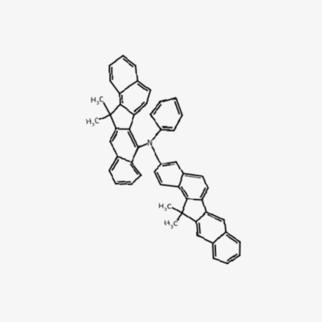 CC1(C)c2cc3ccccc3cc2-c2ccc3cc(N(c4ccccc4)c4c5c(cc6ccccc46)C(C)(C)c4c-5ccc5ccccc45)ccc3c21